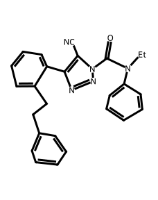 CCN(C(=O)n1nnc(-c2ccccc2CCc2ccccc2)c1C#N)c1ccccc1